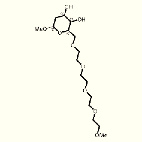 COCCOCCOCCOCCOC[C@H]1O[C@H](OC)C[C@@H](O)[C@H]1O